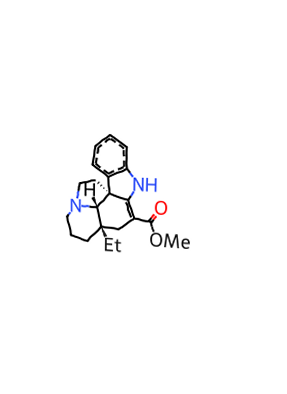 CC[C@]12CCCN3CC[C@]4(C(=C(C(=O)OC)C1)Nc1ccccc14)[C@@H]32